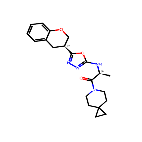 C[C@H](Nc1nnc([C@@H]2COc3ccccc3C2)o1)C(=O)N1CCC2(CC1)CC2